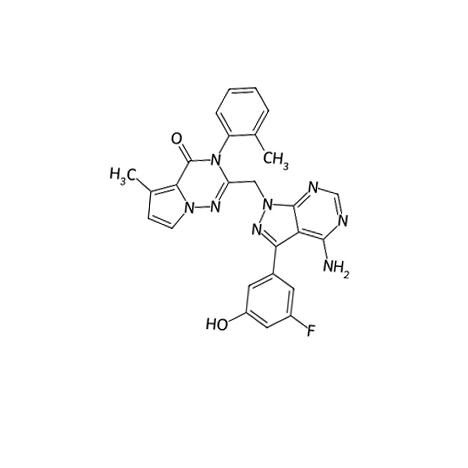 Cc1ccccc1-n1c(Cn2nc(-c3cc(O)cc(F)c3)c3c(N)ncnc32)nn2ccc(C)c2c1=O